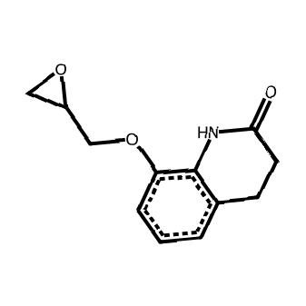 O=C1CCc2cccc(OCC3CO3)c2N1